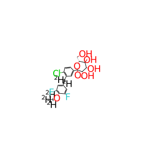 [2H]C([2H])([2H])Oc1c(F)cc(C([2H])([2H])c2cc([C@]3(OC)O[C@H](CO)[C@@H](O)[C@H](O)[C@H]3O)ccc2Cl)cc1F